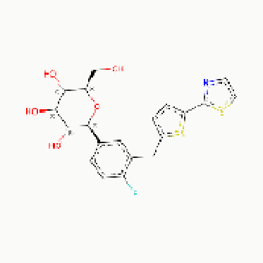 OC[C@H]1O[C@@H](c2ccc(F)c(Cc3ccc(-c4nccs4)s3)c2)[C@H](O)[C@@H](O)[C@@H]1O